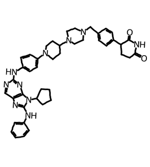 O=C1CCC(c2ccc(CN3CCN(C4CCN(c5ccc(Nc6ncc7nc(Nc8ccccc8)n(C8CCCC8)c7n6)cc5)CC4)CC3)cc2)C(=O)N1